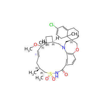 CO[C@]1(C)/C=C/C[C@H](C)[C@@H](C)S(=O)(=O)NC(=O)c2ccc3c(c2)N(C[C@@H]2CC[C@H]21)C[C@@]1(CCCC2=CC(Cl)=CCC21C)CO3